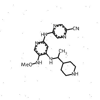 CONc1cnc(Nc2cnc(C#N)cn2)cc1NC(C)C1CCNCC1